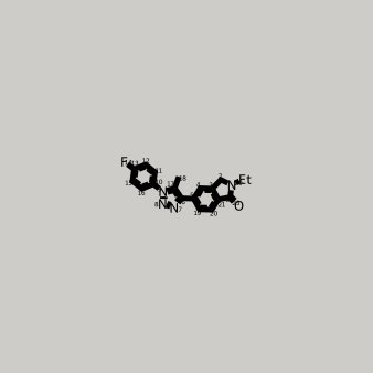 CCN1Cc2cc(-c3nnn(-c4ccc(F)cc4)c3C)ccc2C1=O